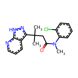 CN(C(=O)CC(C)(C)c1n[nH]c2ncccc12)c1ccccc1Cl